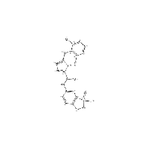 O=C(Nc1ccc2c(c1)S(=O)(=O)CC2)c1nnc(Sc2c(Cl)cncc2Cl)s1